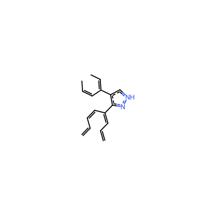 C=C/C=C\C(=C/C=C)c1n[nH]cc1C(/C=C\C)=C/C